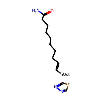 CCCCCCCC/C=C/CCCCCCCC(N)=O.c1nncs1